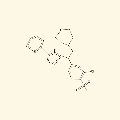 CS(=O)(=O)c1ccc(C(CC2CCOCC2)c2ccc(-c3ccccn3)[nH]2)cc1Cl